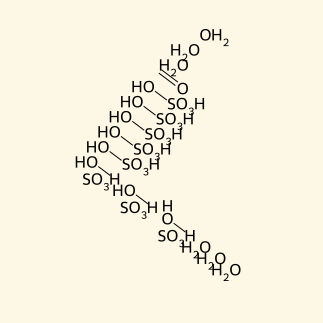 C=O.O.O.O.O.O.O.O=S(=O)(O)O.O=S(=O)(O)O.O=S(=O)(O)O.O=S(=O)(O)O.O=S(=O)(O)O.O=S(=O)(O)O.O=S(=O)(O)O.O=S(=O)(O)O